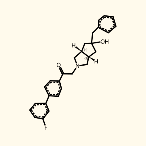 O=C(CN1C[C@@H]2CC(O)(Cc3ccccc3)C[C@@H]2C1)c1ccc(-c2cccc(F)c2)cc1